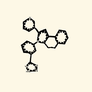 c1cncc(-c2cc3c(n2-c2cccc(-c4nn[nH]n4)c2)CCc2ccccc2-3)c1